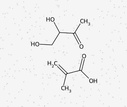 C=C(C)C(=O)O.CC(=O)C(O)CO